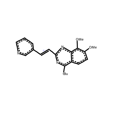 COc1ccc2c(C(C)(C)C)nc(/C=C/c3cccnc3)nc2c1OC